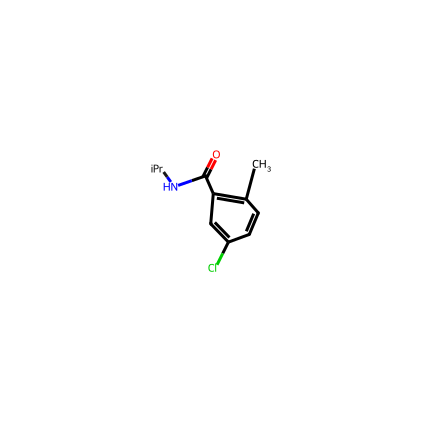 Cc1ccc(Cl)cc1C(=O)NC(C)C